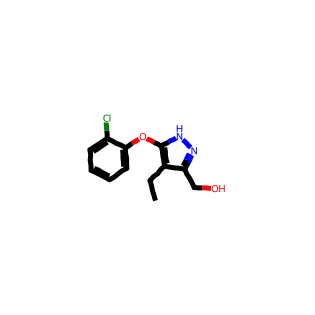 CCc1c(CO)n[nH]c1Oc1ccccc1Cl